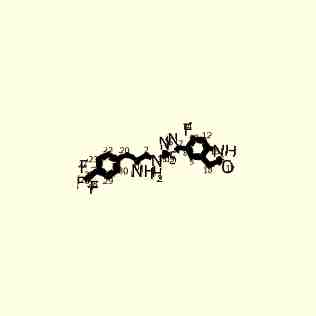 NC(CNc1nnc(-c2cc3c(cc2F)NC(=O)C3)s1)Cc1ccc(C(F)(F)F)cc1